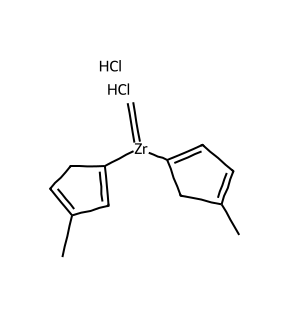 Cl.Cl.[CH2]=[Zr]([C]1=CC(C)=CC1)[C]1=CC=C(C)C1